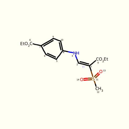 CCOC(=O)/C(=C\Nc1ccc(C(=O)OCC)cc1)S(C)(=O)=O